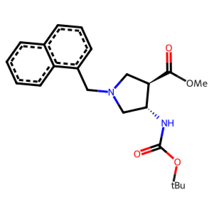 COC(=O)[C@@H]1CN(Cc2cccc3ccccc23)C[C@H]1NC(=O)OC(C)(C)C